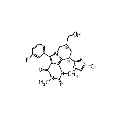 Cn1c(=O)c2c(-c3cccc(F)c3)n3c(c2n(C)c1=O)[C@H](c1nc(Cl)cs1)S[C@H](CO)C3